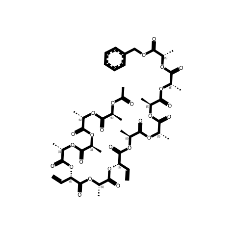 C=C[C@H](OC(=O)[C@H](C)OC(=O)[C@H](C=C)OC(=O)[C@H](C)OC(=O)[C@H](C)OC(=O)[C@H](C)OC(=O)[C@H](C)OC(C)=O)C(=O)O[C@@H](C)C(=O)O[C@@H](C)C(=O)O[C@@H](C)C(=O)O[C@@H](C)C(=O)O[C@@H](C)C(=O)OCc1ccccc1